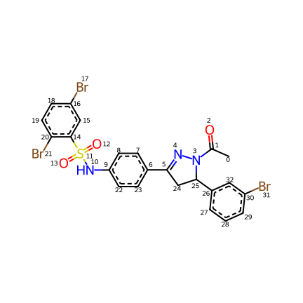 CC(=O)N1N=C(c2ccc(NS(=O)(=O)c3cc(Br)ccc3Br)cc2)CC1c1cccc(Br)c1